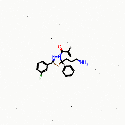 C=C(C)C(=O)N1N=C(c2cccc(F)c2)SC1(CCCN)c1ccccc1